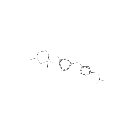 CN1CC[C@H](Oc2cncc(Nc3cc(OC(F)F)[nH]n3)n2)[C@](C)(F)C1